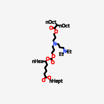 CCCCCCCCC(CCCCCCCC)C(=O)OCCCN(CCCOC(=O)OC(CCCCCC)CCCCC(=O)OCCCCCCC)CCCN(CC)CC